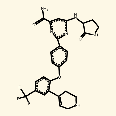 NC(=O)c1cc(NC2CCNC2=O)nc(-c2ccc(Oc3ccc(C(F)(F)F)cc3C3=CCNCC3)cc2)n1